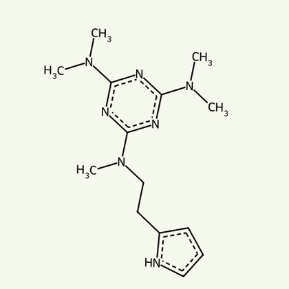 CN(C)c1nc(N(C)C)nc(N(C)CCc2ccc[nH]2)n1